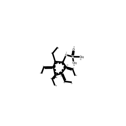 CC=c1c(CC)c(OP(=O)(O)O)c(=CC)c(=CC)c1=CC